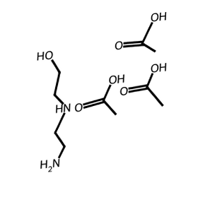 CC(=O)O.CC(=O)O.CC(=O)O.NCCNCCO